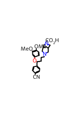 COc1ccc(OC(CCCN2CC3CC(C2)CN(C(=O)O)C3)c2ccc(C#N)cc2)cc1OC